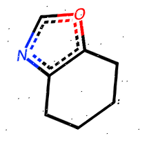 [C]1CCc2ncoc2C1